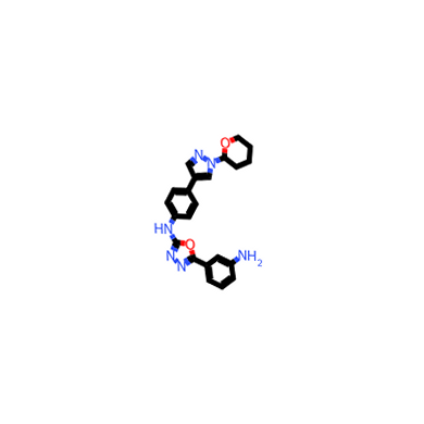 Nc1cccc(-c2nnc(Nc3ccc(-c4cnn(C5CCCCO5)c4)cc3)o2)c1